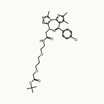 Cc1sc2c(c1C)C(c1ccc(Cl)cc1)=NC(CC(=O)NCCOCCCOCC(=O)OC(C)(C)C)c1nnc(C)n1-2